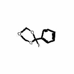 FC1(c2ccccc2)OCOCO1